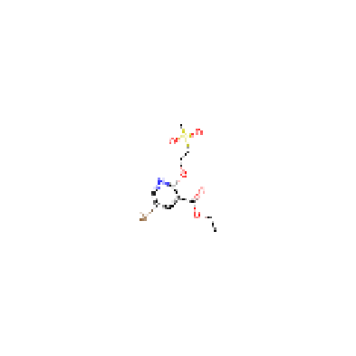 CCOC(=O)c1cc(Br)cnc1OCCS(C)(=O)=O